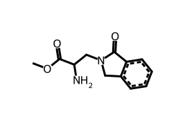 COC(=O)C(N)CN1Cc2ccccc2C1=O